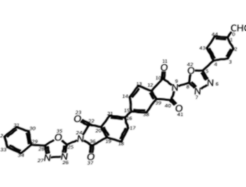 O=Cc1ccc(-c2nnc(N3C(=O)c4ccc(-c5ccc6c(c5)C(=O)N(c5nnc(-c7ccccc7)o5)C6=O)cc4C3=O)o2)cc1